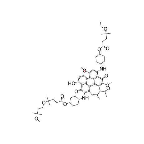 CCOC(C)(C)CCC(=O)OC1CCC(Nc2cc(OC)c3c4c(OC)cc(O)c5c(=O)c(NC6CCC(OC(=O)CCC(C)(C)OCCC(C)(C)OC)CC6)c6c(c7c(c(OC)c(=O)c2c37)C(C(C)=O)C(C)=C6)c54)CC1